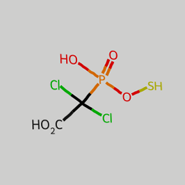 O=C(O)C(Cl)(Cl)P(=O)(O)OS